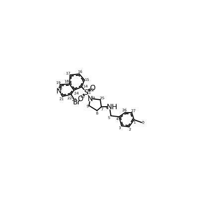 Cc1ccc(CNC2CCN(S(=O)(=O)c3cccc4cncc(Br)c34)C2)cc1